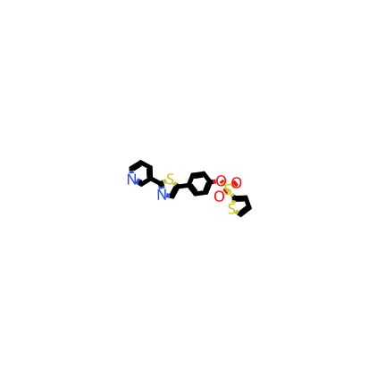 O=S(=O)(Oc1ccc(-c2cnc(-c3cccnc3)s2)cc1)c1cccs1